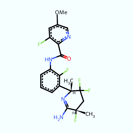 COc1cnc(C(=O)Nc2cccc([C@@]3(C)N=C(N)[C@@](C)(F)CC3(F)F)c2F)c(F)c1